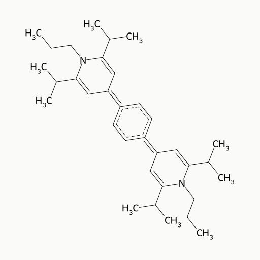 CCCN1C(C(C)C)=CC(=c2ccc(=C3C=C(C(C)C)N(CCC)C(C(C)C)=C3)cc2)C=C1C(C)C